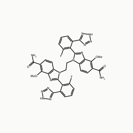 COc1c(C(N)=O)ccc2c1nc(-c1c(F)cccc1-c1nn[nH]n1)n2CCn1c(-c2c(F)cccc2-c2nn[nH]n2)nc2c(OC)c(C(N)=O)ccc21